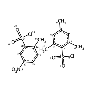 Cc1cc(C)c(S(=O)(=O)Cl)c(C)c1.Cc1ccc([N+](=O)[O-])cc1S(=O)(=O)Cl